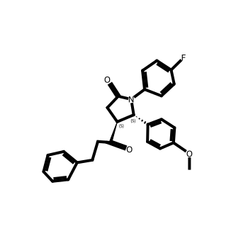 COc1ccc([C@@H]2[C@@H](C(=O)CCc3ccccc3)CC(=O)N2c2ccc(F)cc2)cc1